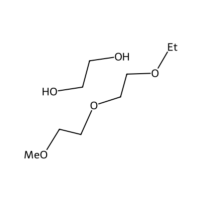 CCOCCOCCOC.OCCO